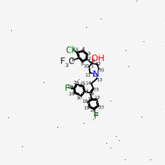 OC1(c2ccc(Cl)c(C(F)(F)F)c2)CCN(CCC=C(c2ccc(F)cc2)c2ccc(F)cc2)CC1